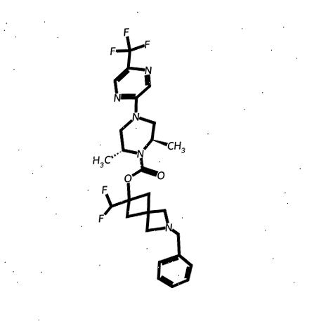 C[C@@H]1CN(c2cnc(C(F)(F)F)cn2)C[C@@H](C)N1C(=O)OC1(C(F)F)CC2(CN(Cc3ccccc3)C2)C1